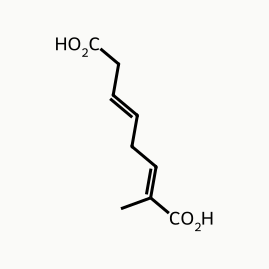 CC(=CCC=CCC(=O)O)C(=O)O